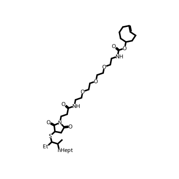 CCCCCCCC(C)C(CC)SC1CC(=O)N(CCC(=O)NCCOCCOCCOCCNC(=O)OC2CC/C=C/CCC2)C1=O